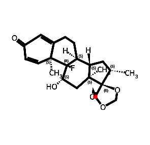 C[C@H]1C[C@H]2[C@@H]3CCC4=CC(=O)C=C[C@]4(C)[C@@]3(F)[C@@H](O)C[C@]2(C)[C@]12OCOC21CCCO1